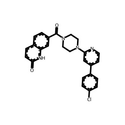 O=C(c1ccc2ccc(=O)[nH]c2c1)N1CCN(c2cc(-c3ccc(Cl)cc3)ccn2)CC1